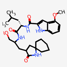 COc1cccc2[nH]c(C(=O)N[C@@H](CC(C)C)C(=O)NC(CO)CC3CC4(CCCCC4)NC3=O)cc12